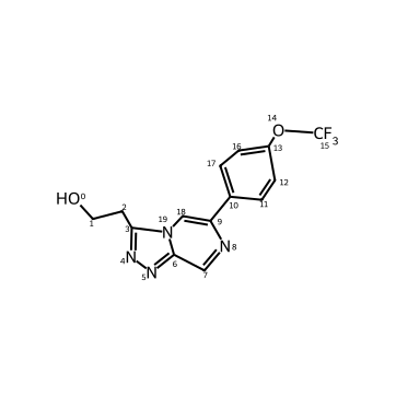 OCCc1nnc2cnc(-c3ccc(OC(F)(F)F)cc3)cn12